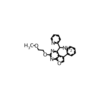 COCCOc1nc(C(N)c2ccccn2)c2c(-c3ccccc3)coc2n1